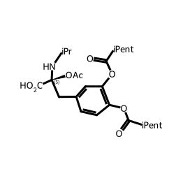 CCCC(C)C(=O)Oc1ccc(C[C@](NC(C)C)(OC(C)=O)C(=O)O)cc1OC(=O)C(C)CCC